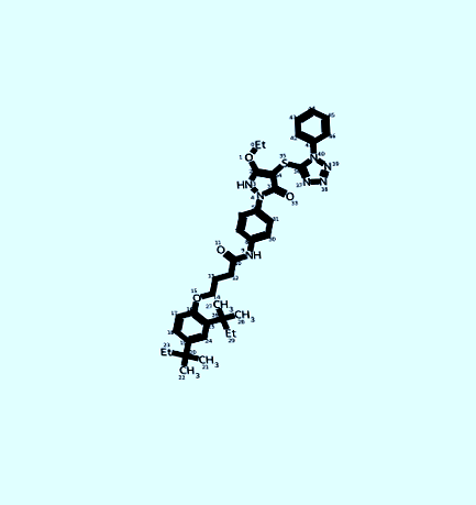 CCOc1[nH]n(-c2ccc(NC(=O)CCCOc3ccc(C(C)(C)CC)cc3C(C)(C)CC)cc2)c(=O)c1Sc1nnnn1-c1ccccc1